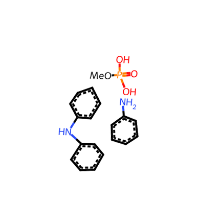 COP(=O)(O)O.Nc1ccccc1.c1ccc(Nc2ccccc2)cc1